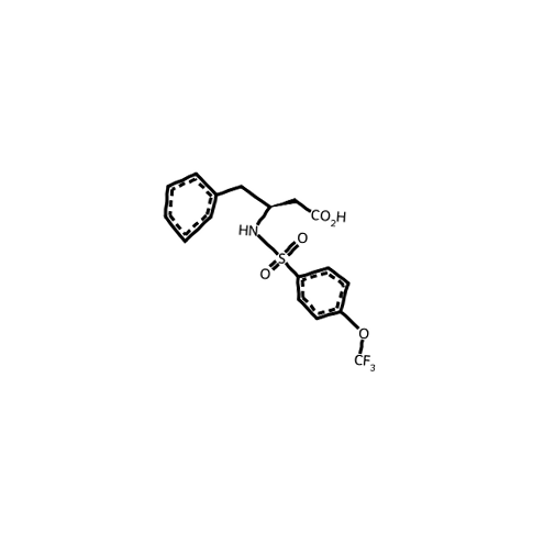 O=C(O)C[C@H](Cc1ccccc1)NS(=O)(=O)c1ccc(OC(F)(F)F)cc1